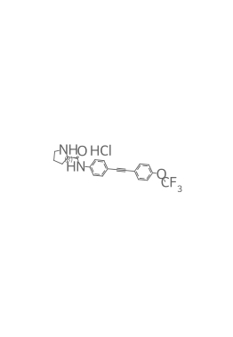 Cl.O=C(Nc1ccc(C#Cc2ccc(OC(F)(F)F)cc2)cc1)[C@H]1CCCN1